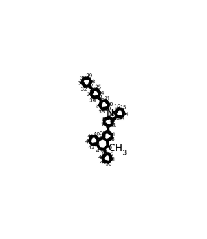 CC1c2ccc(-c3ccc4c(c3)c3ccccc3n4-c3ccc(-c4ccc(-c5ccccc5)cc4)cc3)cc2-c2ccccc2CC1c1ccccc1